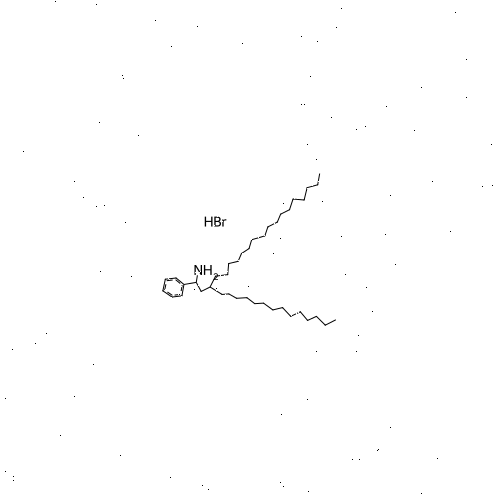 Br.CCCCCCCCCCCCCCCCCC(CCCCCCCCCCCCCC)CC(N)c1ccccc1